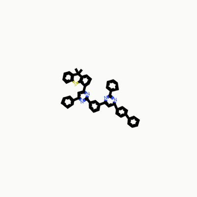 CC1(C)c2ccccc2Sc2c(-c3cc(-c4ccccc4)nc(-c4cccc(-c5cc(-c6ccc(-c7ccccc7)cc6)nc(-c6ccccc6)n5)c4)n3)cccc21